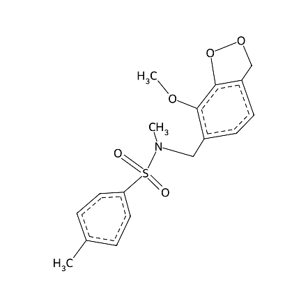 COc1c(CN(C)S(=O)(=O)c2ccc(C)cc2)ccc2c1OOC2